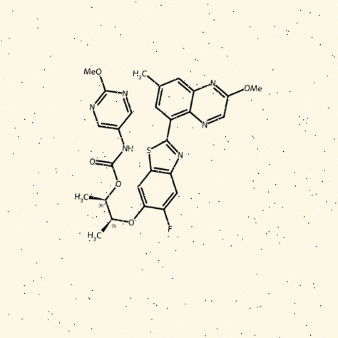 COc1cnc2c(-c3nc4cc(F)c(O[C@@H](C)[C@@H](C)OC(=O)Nc5cnc(OC)nc5)cc4s3)cc(C)cc2n1